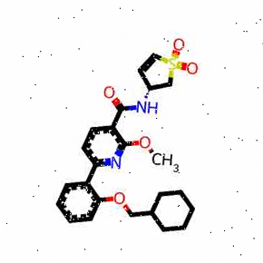 COc1nc(-c2ccccc2OCC2CCCCC2)ccc1C(=O)N[C@@H]1C=CS(=O)(=O)C1